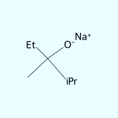 CCC(C)([O-])C(C)C.[Na+]